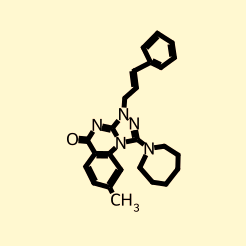 Cc1ccc2c(=O)nc3n(C/C=C/c4ccccc4)nc(N4CCCCCC4)n3c2c1